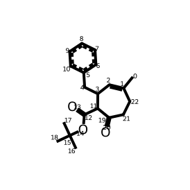 CC1=CC(Cc2ccccc2)C(C(=O)OC(C)(C)C)C(=O)CC1